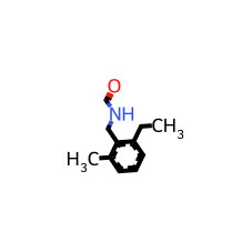 CCc1cccc(C)c1CNC=O